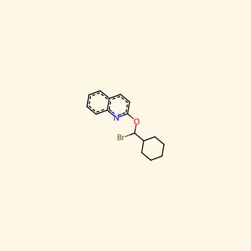 BrC(Oc1ccc2ccccc2n1)C1CCCCC1